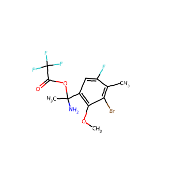 COc1c(C(C)(N)OC(=O)C(F)(F)F)cc(F)c(C)c1Br